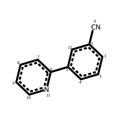 N#Cc1cccc(-c2[c]cccn2)c1